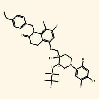 COc1ccc(CN2C(=O)CCc3c(OC[C@]4(O)CCN(c5cc(F)c(Cl)cc5F)C[C@H]4O[Si](C)(C)C(C)(C)C)cc(F)c(F)c32)cc1